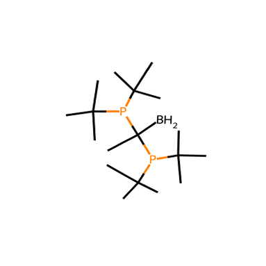 BC(C)(P(C(C)(C)C)C(C)(C)C)P(C(C)(C)C)C(C)(C)C